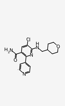 NC(=O)c1cc(Cl)c(NCC2CCOCC2)nc1-c1c[c]ncc1